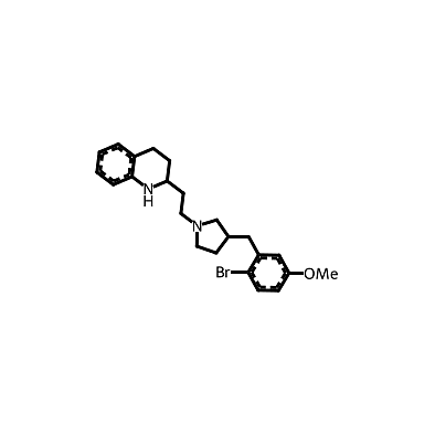 COc1ccc(Br)c(CC2CCN(CCC3CCc4ccccc4N3)C2)c1